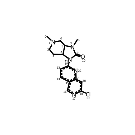 CN1CCC2C(C1)N(C)C(=O)N2c1ccc2cnc(Cl)cc2n1